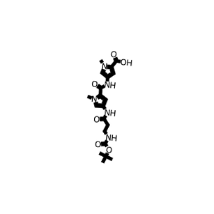 Cn1cc(NC(=O)c2cc(NC(=O)CCNC(=O)OC(C)(C)C)cn2C)cc1C(=O)O